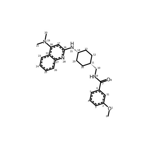 COc1cccc(C(=O)NC[C@H]2CC[C@@H](Nc3cc(N(C)C)c4ccccc4n3)CC2)c1